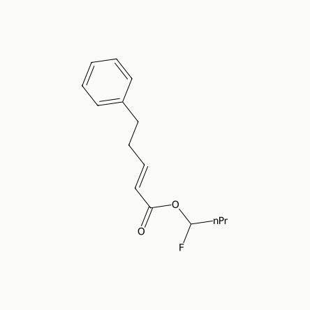 CCCC(F)OC(=O)C=CCCc1ccccc1